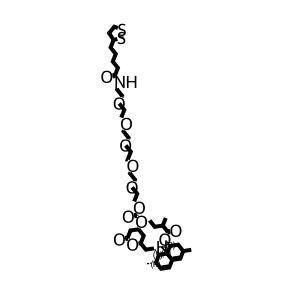 CCC(C)C(=O)O[C@@H]1CC(C)C=C2C=C[C@H](C)[C@H](CCC3CC(OC(=O)OCCOCCOCCOCCOCCOCCNC(=O)CCCCC4CCSS4)CC(=O)O3)[C@@H]21